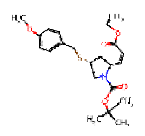 CCOC(=O)/C=C\[C@@H]1C[C@@H](SCc2ccc(OC)cc2)CN1C(=O)OC(C)(C)C